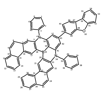 c1ccc(N2c3cc4ccc5ccccc5c4cc3B3c4cc5c(ccc6ccccc65)cc4N(c4ccccc4)c4cc(-c5ccc6c(c5)oc5ccccc56)cc2c43)cc1